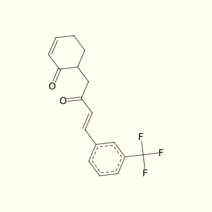 O=C(/C=C/c1cccc(C(F)(F)F)c1)CC1CCC=CC1=O